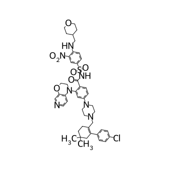 CC1(C)CCC(CN2CCN(c3ccc(C(=O)NS(=O)(=O)c4ccc(NCC5CCOCC5)c([N+](=O)[O-])c4)c(N4CCOc5cnccc54)c3)CC2)=C(c2ccc(Cl)cc2)C1